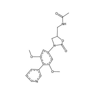 COc1cc(N2CC(CNC(C)=O)OC2=O)cc(OC)c1-c1cccnc1